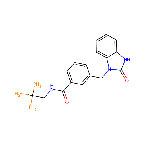 O=C(NCC(P)(P)P)c1cccc(Cn2c(=O)[nH]c3ccccc32)c1